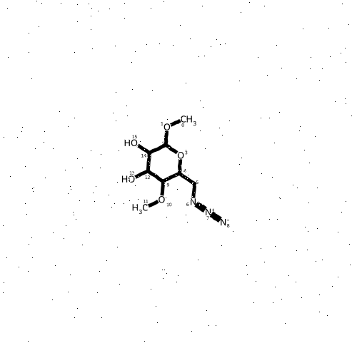 COC1OC(CN=[N+]=[N-])C(OC)C(O)C1O